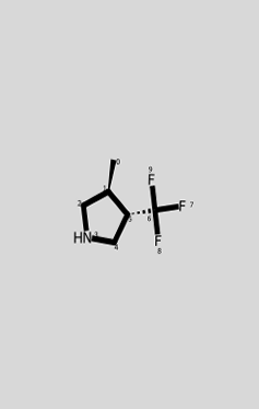 C[C@@H]1CNC[C@H]1C(F)(F)F